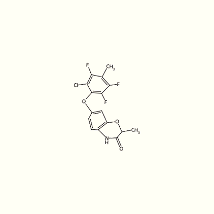 Cc1c(F)c(F)c(Oc2ccc3c(c2)OC(C)C(=O)N3)c(Cl)c1F